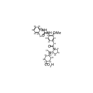 COc1cc(CC(=O)N2CCCC2N(C)C2CCC(C(=O)O)CC2)ccc1NC(=O)Nc1ccccc1C